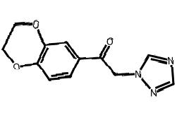 O=C(Cn1cncn1)c1ccc2c(c1)OCCO2